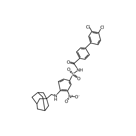 O=C(NS(=O)(=O)c1ccc(NCC23CC4CC(CC(C4)C2)C3)c([N+](=O)[O-])c1)c1ccc(-c2ccc(Cl)c(Cl)c2)cc1